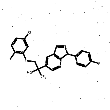 Cc1ccc(Cl)cc1OCC(O)(c1ccc2c(c1)C=NC2c1ccc(F)cc1)C(F)(F)F